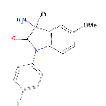 COc1ccc2c(c1)C(N)(C(C)C)C(=O)N2c1ccc(F)cc1